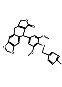 COc1cc(C2C3=C(COC3=O)Cc3cc4c(cc32)OCO4)cc(OC)c1OCc1ccc(C)cc1